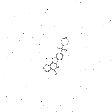 O=c1[nH]c2c(c3ccccc13)Cc1cc(S(=O)(=O)N3CCOCC3)ccc1-2